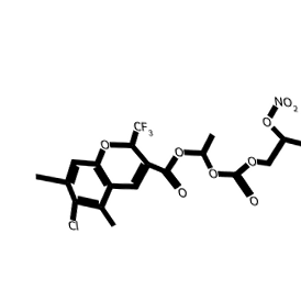 Cc1cc2c(c(C)c1Cl)C=C(C(=O)OC(C)OC(=O)OCC(C)O[N+](=O)[O-])C(C(F)(F)F)O2